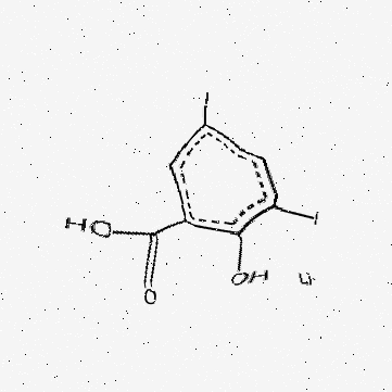 O=C(O)c1cc(I)cc(I)c1O.[Li]